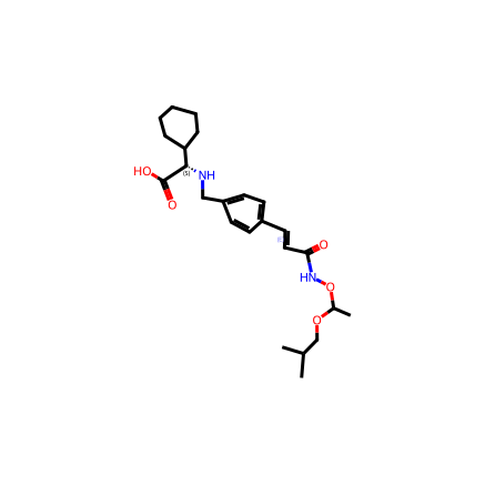 CC(C)COC(C)ONC(=O)/C=C/c1ccc(CN[C@H](C(=O)O)C2CCCCC2)cc1